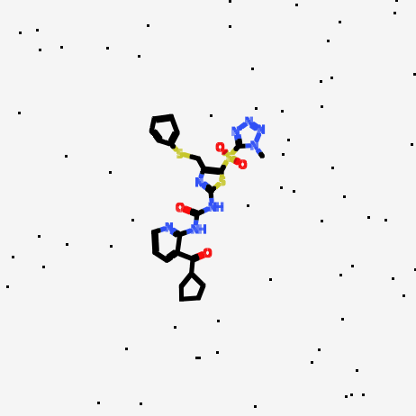 Cn1nnnc1S(=O)(=O)c1sc(NC(=O)Nc2ncccc2C(=O)C2CCCC2)nc1CSc1ccccc1